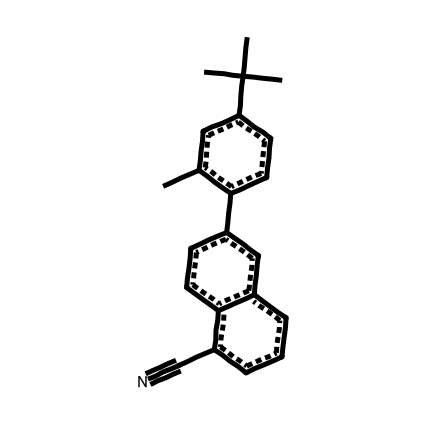 Cc1cc(C(C)(C)C)ccc1-c1ccc2c(C#N)cccc2c1